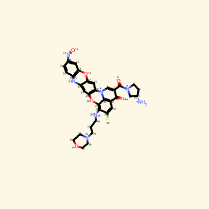 N[C@H]1CCN(C(=O)c2cn3c4cc5oc6cc(N=O)ccc6[nH]c5cc4oc4c(NCCCN5CCOCC5)c(F)cc(c2=O)c43)C1